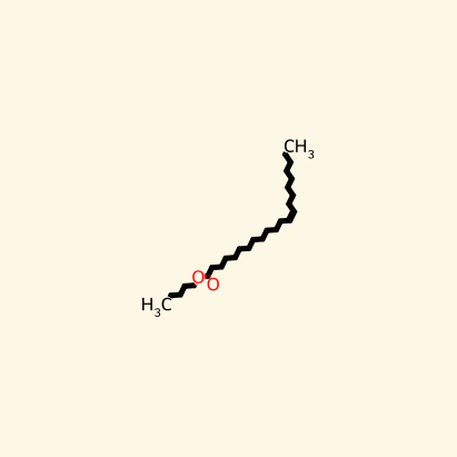 CCCCCCCC/C=C\CCCCCCCCCCCC(=O)OCCCCC